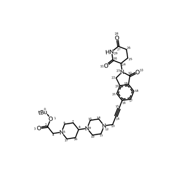 CC(C)(C)OC(=O)CN1CCC(N2CCN(CC#Cc3ccc4c(c3)CN(C3CCC(=O)NC3=O)C4=O)CC2)CC1